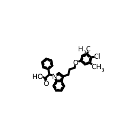 Cc1cc(OCCCc2cn(C(C(=O)O)c3ccccc3)c3ccccc23)cc(C)c1Cl